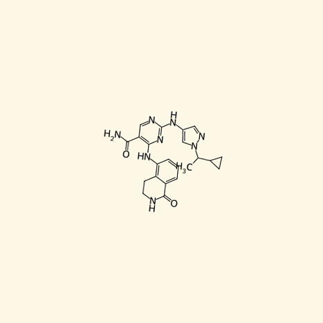 CC(C1CC1)n1cc(Nc2ncc(C(N)=O)c(Nc3cccc4c3CCNC4=O)n2)cn1